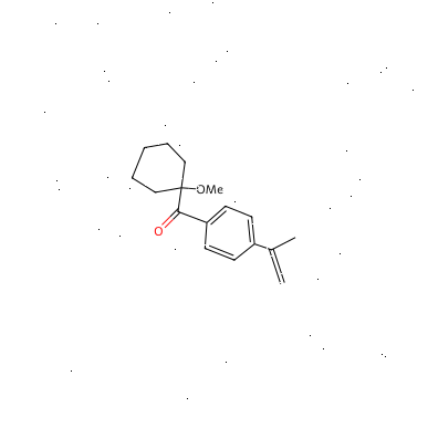 C=C(C)c1ccc(C(=O)C2(OC)CCCCC2)cc1